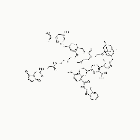 COCCN(CCOC12CC3(C)CC(C)(CC(Cn4ncc(-c5ccc(N6CCc7c(OC)ccc(C(=O)Nc8nc9ccccc9s8)c7C6)nc5C(=O)O)c4C)(C3)C1)C2)C(=O)OCc1ccc(O[C@H]2C[C@@H](O)C[C@@H](C(=O)O)O2)cc1OCCOCCNC(=O)CCNC(=O)CN1C(=O)C=CC1=O